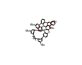 CC(C)(C)c1cc(-c2cccc(-c3cc(C(C)(C)C)cc(C(C)(C)C)c3)c2N2c3ccc4cc3B3c5cc(ccc5Oc5cc(-c6ccccc6)cc2c53)-c2cc(C(C)(C)C)cc(c2)C(C)(C)C(C)(C)c2cc-4cc(C(C)(C)C)c2)cc(C(C)(C)C)c1